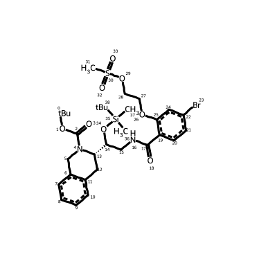 CC(C)(C)OC(=O)N1Cc2ccccc2C[C@H]1C(CNC(=O)c1ccc(Br)cc1OCCOS(C)(=O)=O)O[Si](C)(C)C(C)(C)C